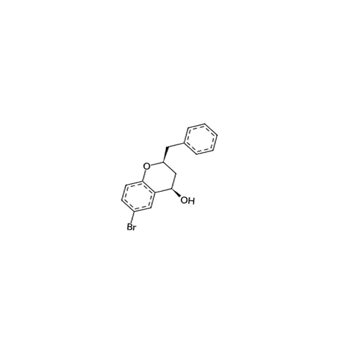 O[C@@H]1C[C@H](Cc2ccccc2)Oc2ccc(Br)cc21